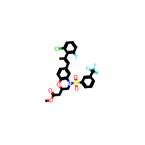 COC(=O)CC1CN(S(=O)(=O)c2cccc(C(F)(F)F)c2)c2cc(/C=C(\C)c3c(F)cccc3Cl)ccc2O1